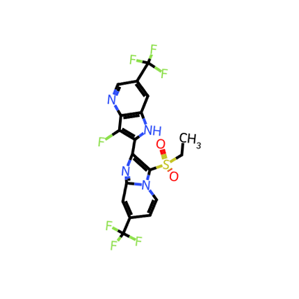 CCS(=O)(=O)c1c(-c2[nH]c3cc(C(F)(F)F)cnc3c2F)nc2cc(C(F)(F)F)ccn12